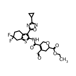 CCOC(=O)C1CC([C]=O)=C(C(=O)Nc2sc3c(c2-c2nc(C4CC4)no2)CCC(F)(F)C3)CO1